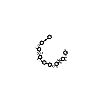 Cc1ccc(Oc2ccc(S(=O)(=O)c3ccc(Oc4ccc(-c5ccc(Oc6ccc(S(=O)(=O)c7ccc(Oc8ccc(C#Cc9ccccc9)cc8)c(C)c7)cc6C)cc5)cc4)c(C)c3)cc2C)cc1